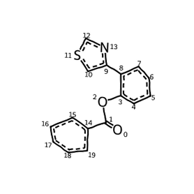 O=C(Oc1ccccc1-c1cscn1)c1ccccc1